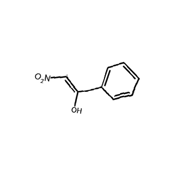 O=[N+]([O-])/[C]=C(\O)c1ccccc1